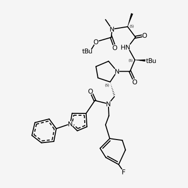 C[C@@H](C(=O)N[C@H](C(=O)N1CCC[C@H]1CN(CCC1=CC=C(F)CC1)C(=O)c1ccn(-c2ccccc2)c1)C(C)(C)C)N(C)C(=O)OC(C)(C)C